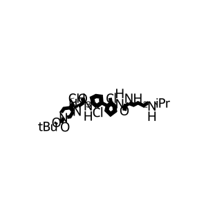 CC(C)NCCC/C=C(\N)C(=O)Nc1cccc(-c2cccc(NC(=O)c3nc4c(n3C)CCN(C(=O)OC(C)(C)C)C4)c2Cl)c1Cl